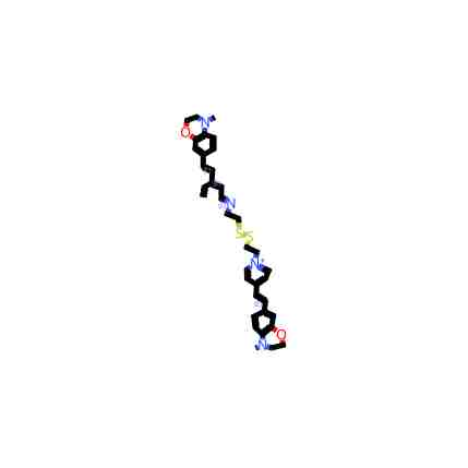 C=CC(/C=C/c1ccc2c(c1)OCCN2C)=C\C=N\CCSSCC[n+]1ccc(/C=C/c2ccc3c(c2)OCCN3C)cc1